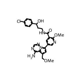 COCc1cc(-c2cnc(OC)c(C(=O)NCCC(O)c3ccc(Cl)cc3)c2)n2ncnc(N)c12